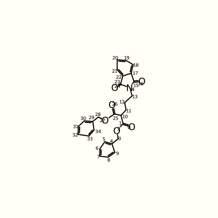 O=C(OCc1ccccc1)C(CCCN1C(=O)c2ccccc2C1=O)C(=O)OCc1ccccc1